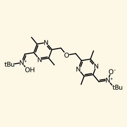 Cc1nc(COCc2nc(C)c(/C=[N+](\O)C(C)(C)C)nc2C)c(C)nc1/C=[N+](\[O-])C(C)(C)C